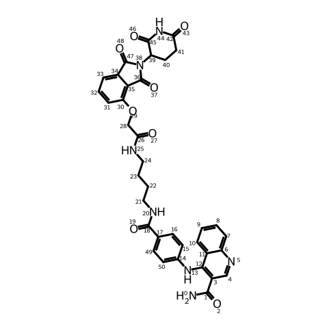 NC(=O)c1cnc2ccccc2c1Nc1ccc(C(=O)NCCCCNC(=O)COc2cccc3c2C(=O)N(C2CCC(=O)NC2=O)C3=O)cc1